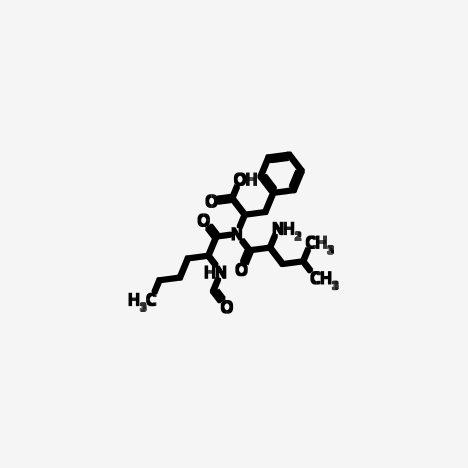 CCCCC(NC=O)C(=O)N(C(=O)C(N)CC(C)C)C(Cc1ccccc1)C(=O)O